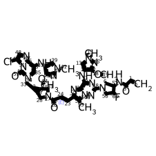 C=CC(=O)NC1CN(c2nc(Nc3cn(C)nc3OC)c3nc(/C=C/C(=O)N4CC5C(C4)C5Cn4cc(Nc5cn(C)nc5OC)c5ncc(Cl)n5c4=O)c(C)n3n2)CC1F